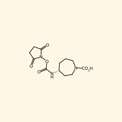 O=C(N[C@@H]1CCCN(C(=O)O)CC1)ON1C(=O)CCC1=O